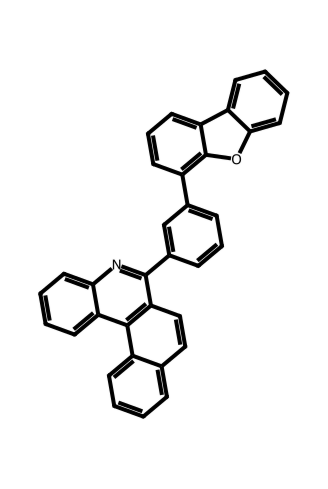 c1cc(-c2nc3ccccc3c3c2ccc2ccccc23)cc(-c2cccc3c2oc2ccccc23)c1